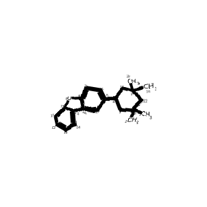 CC1(C)C[C](c2ccc3oc4ccccc4c3c2)CC(C)(C)C1